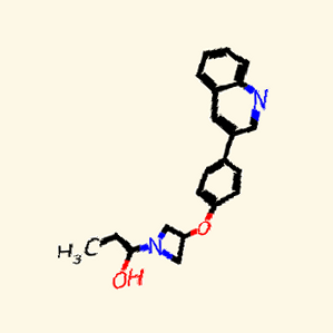 CCC(O)N1CC(Oc2ccc(-c3cnc4ccccc4c3)cc2)C1